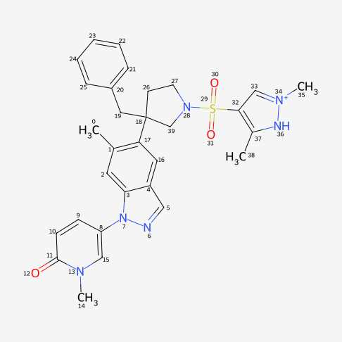 Cc1cc2c(cnn2-c2ccc(=O)n(C)c2)cc1C1(Cc2ccccc2)CCN(S(=O)(=O)c2c[n+](C)[nH]c2C)C1